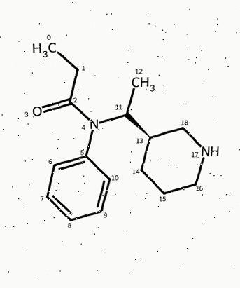 CCC(=O)N(c1ccccc1)C(C)[C@@H]1CCCNC1